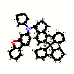 c1ccc(N(c2ccc3c(c2)oc2ccccc23)c2cccc3c4c(ccc23)C(c2ccccc2)(c2ccccc2)c2ccccc2-4)cc1